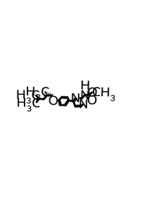 COC(=O)Nc1nccc(-c2ccc(OC[C@H](C)CC(C)C)cc2)n1